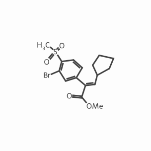 COC(=O)/C(=C/C1CCCC1)c1ccc(S(C)(=O)=O)c(Br)c1